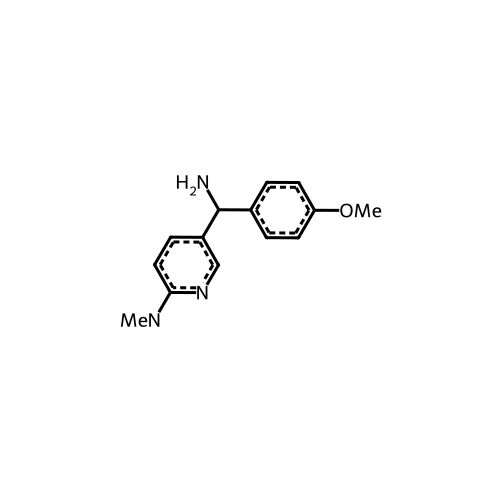 CNc1ccc(C(N)c2ccc(OC)cc2)cn1